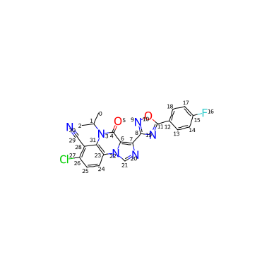 CC(C)n1c(=O)c2c(-c3noc(-c4ccc(F)cc4)n3)ncn2c2ccc(Cl)c(C#N)c21